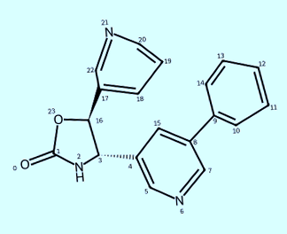 O=C1N[C@@H](c2cncc(-c3ccccc3)c2)[C@H](c2cccnc2)O1